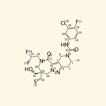 C[C@@H]1Cc2nn3c(c2CN1C(=O)Nc1ccc(F)c(Cl)c1)C(=O)N(CC(F)F)C[C@](C=S)(CO)C3